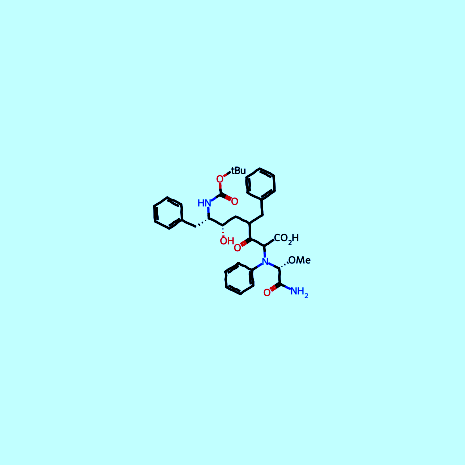 CO[C@H](C(N)=O)N(c1ccccc1)C(C(=O)O)C(=O)C(Cc1ccccc1)C[C@H](O)[C@H](Cc1ccccc1)NC(=O)OC(C)(C)C